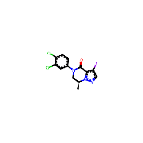 C[C@H]1CN(c2ccc(Cl)c(Cl)c2)C(=O)c2c(I)cnn21